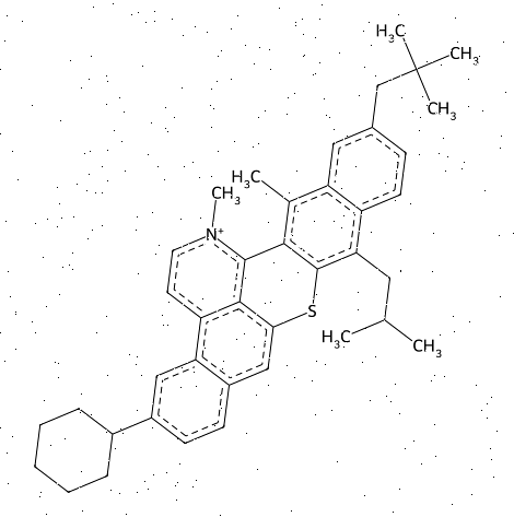 Cc1c2c(c(CC(C)C)c3ccc(CC(C)(C)C)cc13)Sc1cc3ccc(C4CCCCC4)cc3c3cc[n+](C)c-2c13